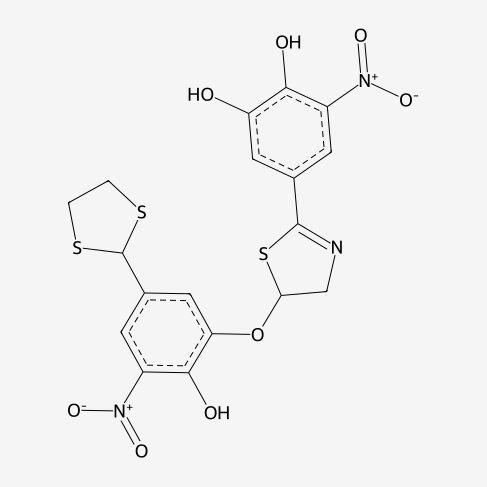 O=[N+]([O-])c1cc(C2=NCC(Oc3cc(C4SCCS4)cc([N+](=O)[O-])c3O)S2)cc(O)c1O